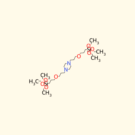 CCO[Si](CCCOCCCN1CCN(CCCOCCC[Si](OCC)(OCC)OCC)CC1)(OCC)OCC